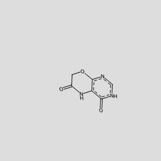 O=C1COc2nc[nH]c(=O)c2N1